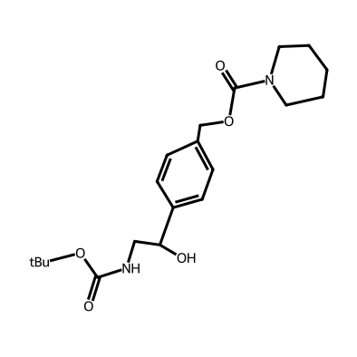 CC(C)(C)OC(=O)NCC(O)c1ccc(COC(=O)N2CCCCC2)cc1